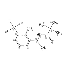 Cc1c([C@@H](C)N[S@+]([O-])C(C)(C)C)cccc1C(F)(F)F